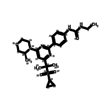 CCNC(=O)Nc1ccc(-c2nc(N3CCOC[C@@H]3C)cc(C(C)(C)S(=O)(=O)C3CC3)n2)cc1